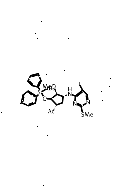 CO[C@@H]1C(O[Si](c2ccccc2)(c2ccccc2)C(C)(C)C)[C@@H](C(C)=O)C[C@H]1Nc1nc(SC)ncc1I